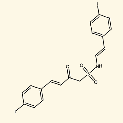 O=C(C=Cc1ccc(I)cc1)CS(=O)(=O)NC=Cc1ccc(I)cc1